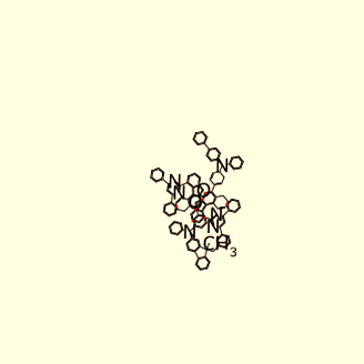 CC1(Cc2cccc(-c3cc(-c4ccccc4)nc(-c4cccc5oc6cc(C7=CCC(N(c8ccccc8)c8ccc(-c9ccccc9)cc8)C=C7)c7c(c6c45)C=CCC7)n3)c2)c2ccccc2-c2ccc(N(c3ccccc3)c3cccc(-c4cc5oc6cccc(-c7nc(-c8ccccc8)cc(-c8ccccc8)n7)c6c5c5c4CCC=C5)c3)cc21